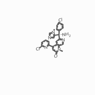 Cn1cncc1[C@@](N)(c1ccc(Cl)cc1)c1cc2c(-c3cccc(Cl)n3)cc(=O)n(C)c2cn1